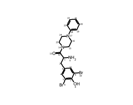 NC(Cc1cc(Br)c(O)c(Br)c1)C(=O)N1CCN(c2ccccc2)CC1